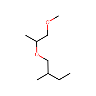 CCC(C)COC(C)COC